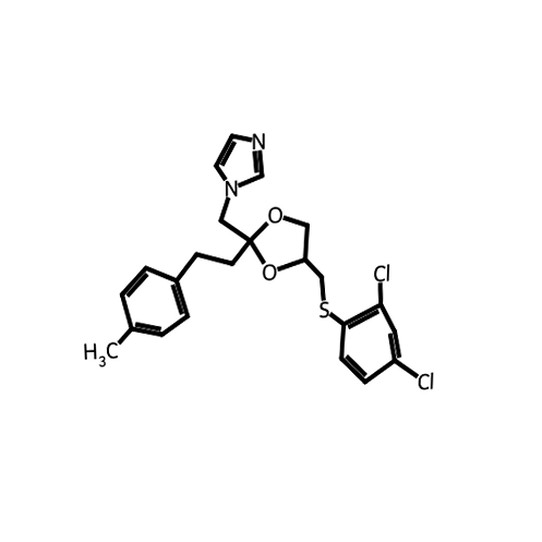 Cc1ccc(CCC2(Cn3ccnc3)OCC(CSc3ccc(Cl)cc3Cl)O2)cc1